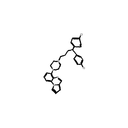 Clc1ccc(C(CCCN2CCN(c3cccc4c3ncc3cccn34)CC2)c2ccc(Cl)cc2)cc1